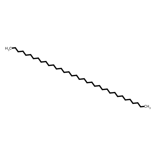 CCCCCCCCCCCCCCCCC[CH]CCCCCCCCCCCCCCCCCC